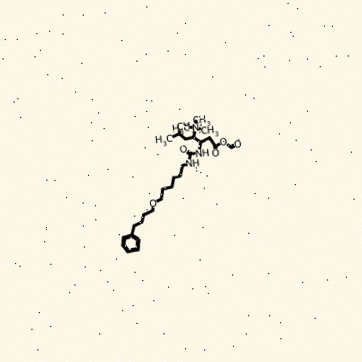 CC(C)CC(C(CC(=O)OC=O)NC(=O)NCCCCCCOCCCCc1ccccc1)[N+](C)(C)C